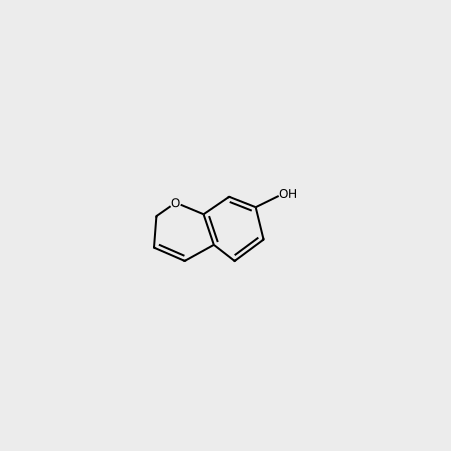 Oc1ccc2c(c1)OCC=C2